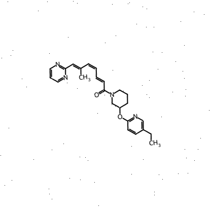 CCc1ccc(OC2CCCN(C(=O)/C=C/C=C\C(C)=C\c3ncccn3)C2)nc1